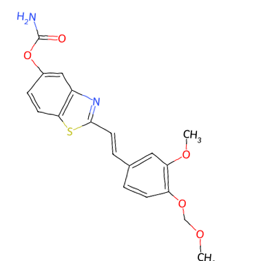 COCOc1ccc(C=Cc2nc3cc(OC(N)=O)ccc3s2)cc1OC